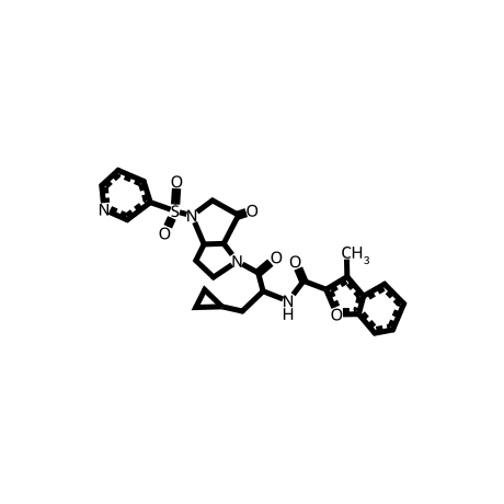 Cc1c(C(=O)NC(CC2CC2)C(=O)N2CCC3C2C(=O)CN3S(=O)(=O)c2cccnc2)oc2ccccc12